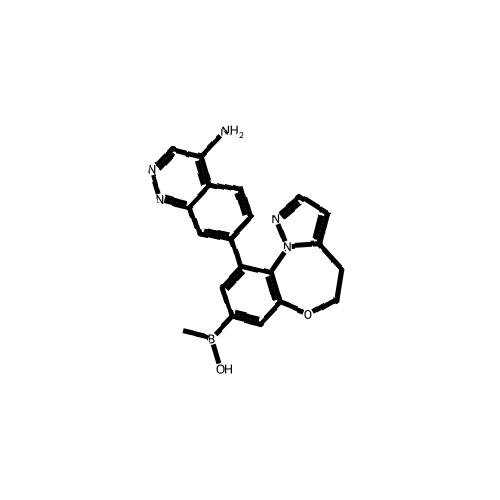 CB(O)c1cc2c(c(-c3ccc4c(N)cnnc4c3)c1)-n1nccc1CCO2